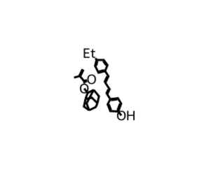 C=C(C)C(=O)OC1C2CC3CC(C2)CC1C3.CCc1ccc(C=CC=Cc2ccc(O)cc2)cc1